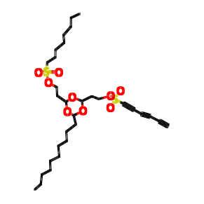 C#CC#CC#CS(=O)(=O)OCCC1OC(CCCCCCCCCC)OC(CCOS(=O)(=O)CCCCCCCC)O1